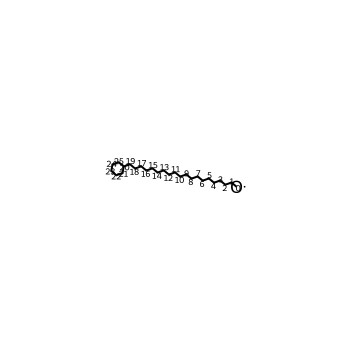 [O]CCCCCCCCCCCCCCCCCCCC1CCCCC1